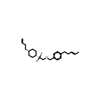 C=CCC[C@H]1CC[C@H](C(F)(F)COCc2ccc(CC/C=C/C)cc2)CC1